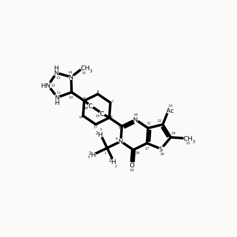 [2H]C([2H])([2H])n1c(C23CCC(C4NNNN4C)(CC2)CC3)nc2c(C(C)=O)c(C)sc2c1=O